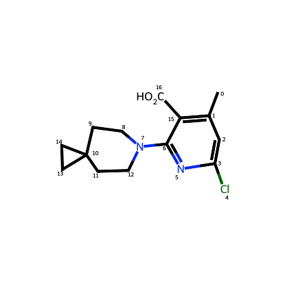 Cc1cc(Cl)nc(N2CCC3(CC2)CC3)c1C(=O)O